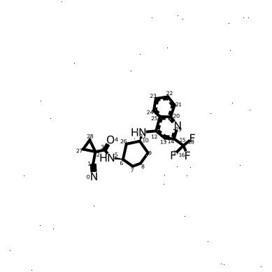 N#CC1(C(=O)N[C@@H]2CCC[C@H](Nc3cc(C(F)(F)F)nc4ccccc34)C2)CC1